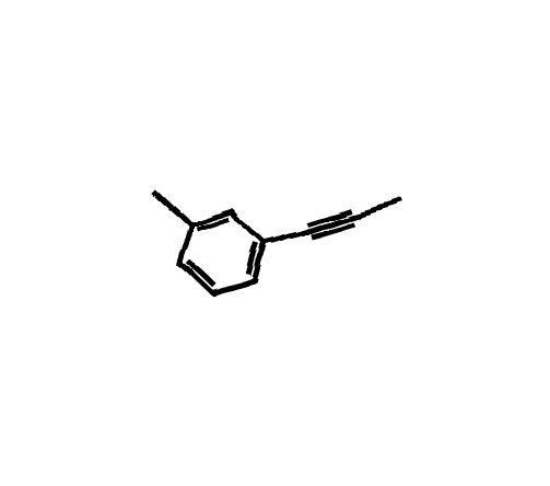 CC#Cc1cccc(C)c1